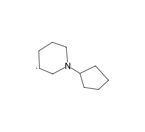 [CH]1CCCN(C2CCCC2)C1